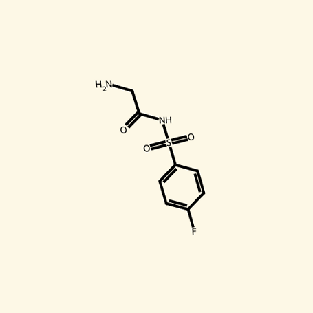 NCC(=O)NS(=O)(=O)c1ccc(F)cc1